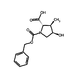 C[C@@H]1[C@@H](C(=O)O)N(C(=O)OCc2ccccc2)C[C@@H]1O